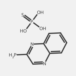 OP(O)(O)=S.Pc1cnc2ccccc2n1